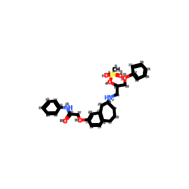 CS(=O)(=O)OC(CNC1CCCc2ccc(OCC(=O)Nc3ccccc3)cc2C1)COc1ccccc1